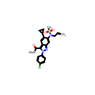 C=CCN(c1cc2nn(-c3ccc(Br)cc3)c(C(=O)NC)c2cc1C1CC1)S(C)(=O)=O